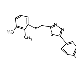 Cc1c(O)cccc1SCc1nnc(-c2ccc(F)cc2)s1